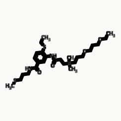 CCOCCCOCCC[Si](C)(C)CCC(=O)Nc1cc(C(=O)NCCCSC)ccc1SCC